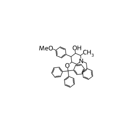 COc1ccc(C2C(OC(c3ccccc3)(c3ccccc3)c3ccccc3)CN(Cc3ccccc3)C(C)C2O)cc1